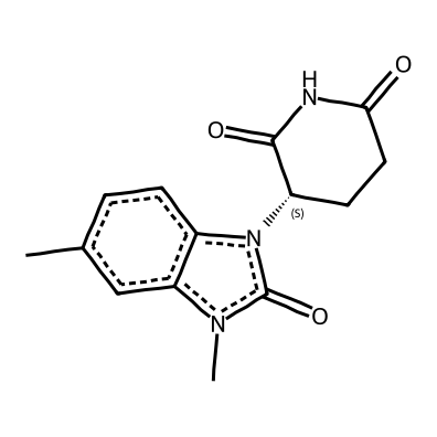 Cc1ccc2c(c1)n(C)c(=O)n2[C@H]1CCC(=O)NC1=O